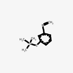 C=Nc1cccc(S[Si](C)(C)C)c1